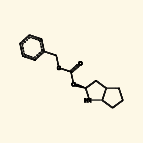 O=C(OCc1ccccc1)O[C@H]1CC2CCCC2N1